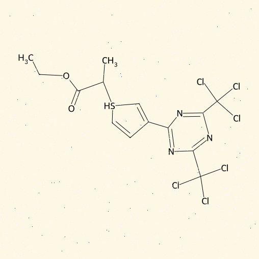 CCOC(=O)C(C)[SH]1C=CC(c2nc(C(Cl)(Cl)Cl)nc(C(Cl)(Cl)Cl)n2)=C1